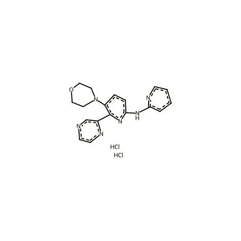 Cl.Cl.c1ccc(Nc2ccc(N3CCOCC3)c(-c3cnccn3)n2)nc1